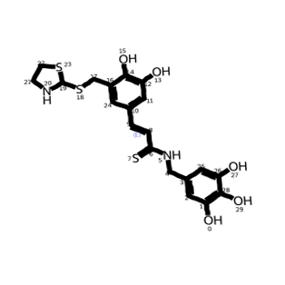 Oc1cc(CNC(=S)/C=C/c2cc(O)c(O)c(CSC3NCCS3)c2)cc(O)c1O